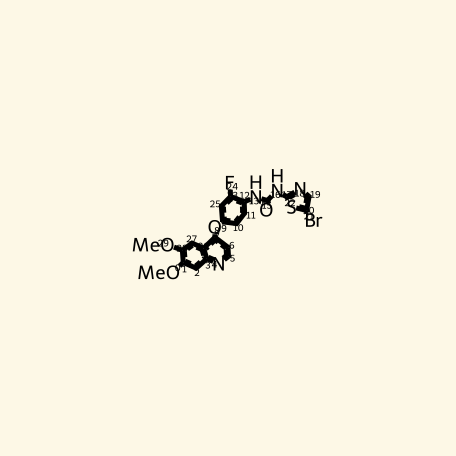 COc1cc2nccc(Oc3ccc(NC(=O)Nc4ncc(Br)s4)c(F)c3)c2cc1OC